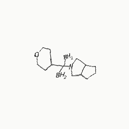 BC(B)(C1CCOCC1)N1CC2CCCC2C1